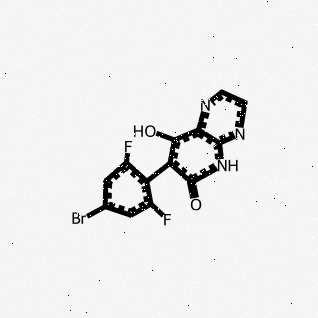 O=c1[nH]c2nccnc2c(O)c1-c1c(F)cc(Br)cc1F